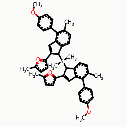 COc1ccc(-c2c(C)ccc3c2C=C(c2ccc(C)o2)C3[Si](C)(C)C2C(c3ccc(C)o3)=Cc3c2ccc(C)c3-c2ccc(OC)cc2)cc1